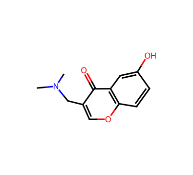 CN(C)Cc1coc2ccc(O)cc2c1=O